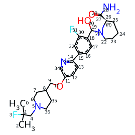 CC(C)(F)CN1CCC(COc2ccc(-c3ccc(C(O)N4CCCC[C@@H]4C(N)=O)c(F)c3)nc2)CC1